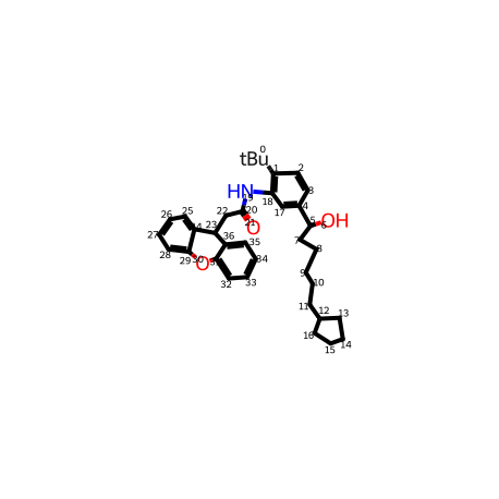 CC(C)(C)c1ccc(C(O)CCCCCC2CCCC2)cc1NC(=O)CC1c2ccccc2Oc2ccccc21